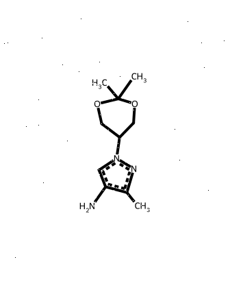 Cc1nn(C2COC(C)(C)OC2)cc1N